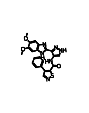 COc1cc2nc(-c3n[nH]cc3NC(=O)c3sncc3-c3ccccc3)[nH]c2cc1OC